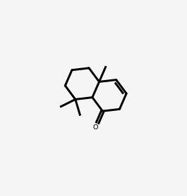 CC1(C)CCCC2(C)C=CCC(=O)C12